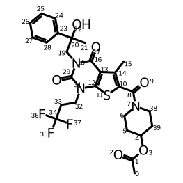 CC(=O)OC1CCN(C(=O)c2sc3c(c2C)c(=O)n(CC(C)(O)c2ccccc2)c(=O)n3CCC(F)(F)F)CC1